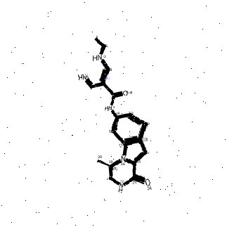 CCN/C=C(\C=N)C(=O)Nc1ccc2cc3n(c2c1)[C@H](C)CNC3=O